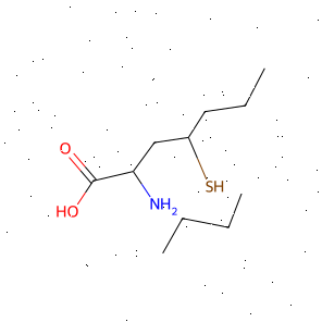 CCCC.CCCC(S)CC(N)C(=O)O